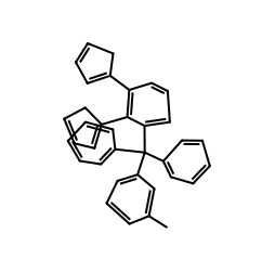 Cc1cccc(C(c2ccccc2)(c2ccccc2)c2cccc(C3=CC=CC3)c2C2=CC=CC2)c1